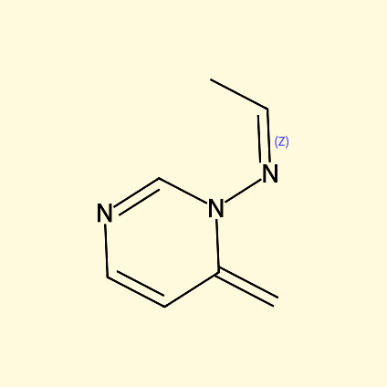 C=C1C=CN=CN1/N=C\C